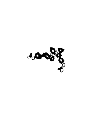 CC1OC1Oc1ccc(-c2ccc3c(c2)c2cccc4c2n3-c2cccc3c2B4c2cc(-c4ccc(OC5OC5C)cc4)cc4c5ccccc5n-3c24)cc1